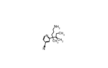 C=C(CC)C(C)(CCCN)c1cc(C#N)ccn1